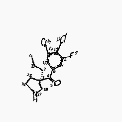 CCC[C@@]1(C(=O)c2cc(F)c(Cl)c(Cl)c2)CCNC1